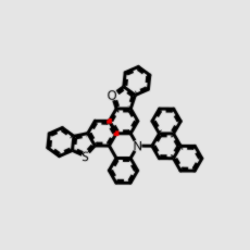 c1ccc(N(c2ccc3oc4ccccc4c3c2)c2cc3ccccc3c3ccccc23)c(-c2cccc3c2sc2ccccc23)c1